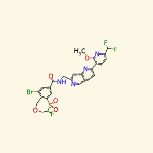 COc1nc(C(F)F)ccc1-c1ccc2cnc(CNC(=O)c3cc(Br)c4c(c3)S(=O)(=O)[C@@H](F)COC4)cc2n1